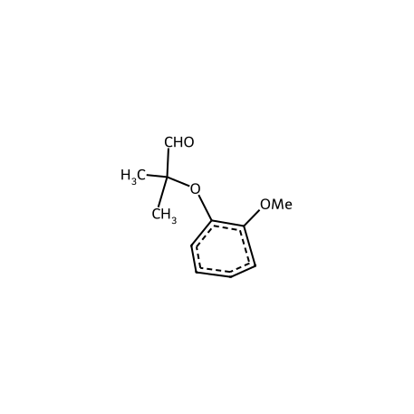 COc1ccccc1OC(C)(C)C=O